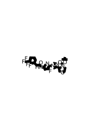 CC(C)(C)OC(=O)N1CCOCC1c1cn(-c2ncc(NC(=O)Cc3cccc(C(F)(F)F)c3F)cc2F)cn1